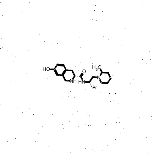 CC(C)[C@@H](CN1CCCCC1C)NC(=O)[C@H]1Cc2ccc(O)cc2CN1